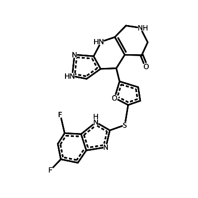 O=C1CNCC2=C1C(c1ccc(Sc3nc4cc(F)cc(F)c4[nH]3)o1)c1c[nH]nc1N2